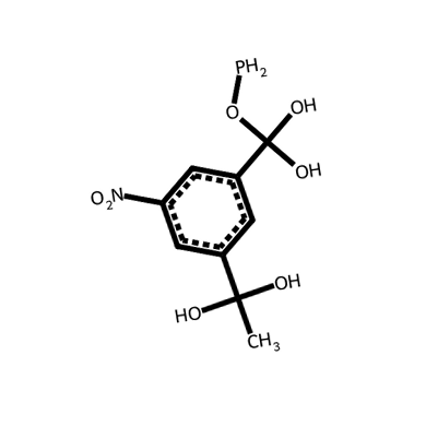 CC(O)(O)c1cc([N+](=O)[O-])cc(C(O)(O)OP)c1